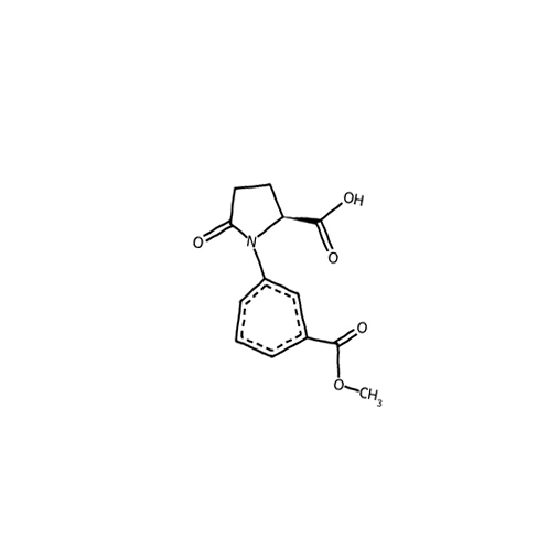 COC(=O)c1cccc(N2C(=O)CC[C@H]2C(=O)O)c1